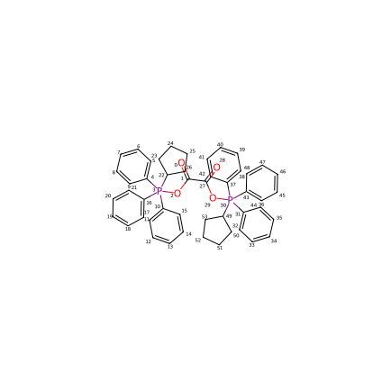 O=C(OP(c1ccccc1)(c1ccccc1)(c1ccccc1)C1CCCC1)C(=O)OP(c1ccccc1)(c1ccccc1)(c1ccccc1)C1CCCC1